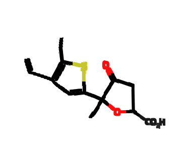 C=Cc1cc(C2(C)OC(C(=O)O)CC2=O)sc1C